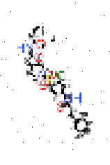 C=CC(=O)NC1CC2CCN(S(=O)(=O)c3ccc(NC(=O)CCc4ccccc4)cc3Cl)CC2O1